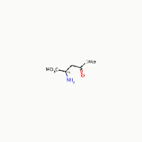 COC(=O)C[C@@H](N)C(=O)O